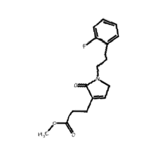 COC(=O)CCC1=CCN(CCc2ccccc2F)C1=O